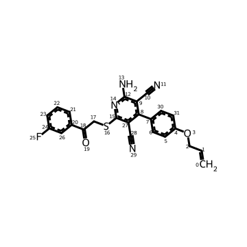 C=CCOc1ccc(-c2c(C#N)c(N)nc(SCC(=O)c3cccc(F)c3)c2C#N)cc1